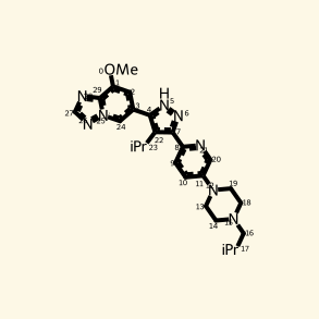 COc1cc(-c2[nH]nc(-c3ccc(N4CCN(CC(C)C)CC4)cn3)c2C(C)C)cn2ncnc12